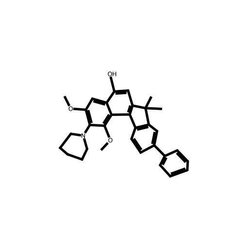 COc1cc2c(O)cc3c(c2c(OC)c1N1CCCCC1)-c1ccc(-c2ccccc2)cc1C3(C)C